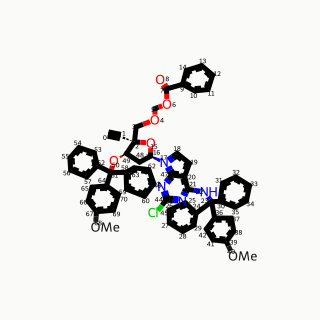 C#C[C@]1(COCOC(=O)c2ccccc2)O[C@@H](n2ccc3c(NC(c4ccccc4)(c4ccccc4)c4ccc(OC)cc4)nc(Cl)nc32)C[C@@H]1OC(c1ccccc1)(c1ccccc1)c1ccc(OC)cc1